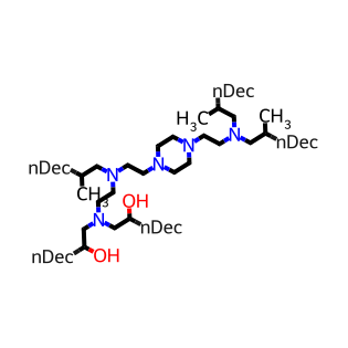 CCCCCCCCCCC(C)CN(CCN1CCN(CCN(CC(C)CCCCCCCCCC)CC(C)CCCCCCCCCC)CC1)CCN(CC(O)CCCCCCCCCC)CC(O)CCCCCCCCCC